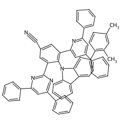 Cc1ccc(-c2ccc3c4ccccc4n(-c4c(-c5cc(-c6ccccc6)cc(-c6ccccc6)n5)cc(C#N)cc4-c4nc(-c5ccccc5)cc(-c5ccccc5)n4)c3c2)c(C)c1